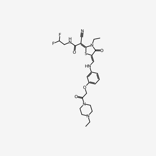 CCN1CCN(C(=O)COc2cccc(NC=c3sc(=C(C#N)C(=O)NCC(F)F)n(CC)c3=O)c2)CC1